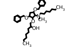 CCCCCCCN(C)C1C(OCc2ccccc2)CC(OCc2ccccc2)C1OCC(O)CCCCCC